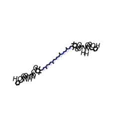 CC1=C(/C=C/C(C)=C/C=C/C(C)=C/C=C/C=C(C)/C=C/C=C(C)/C=C/C2=C(C)C(=O)C(OC(=O)CNC(=O)NC(Cc3ccccc3)C(=O)O)CC2(C)C)C(C)(C)CC(OC(=O)CNC(=O)NC(Cc2ccccc2)C(=O)O)C1=O